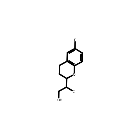 OCC(Cl)C1CCc2cc(F)ccc2O1